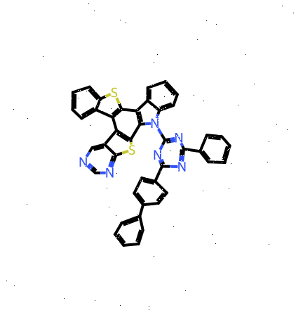 c1ccc(-c2ccc(-c3nc(-c4ccccc4)nc(-n4c5ccccc5c5c6sc7ccccc7c6c6c7cncnc7sc6c54)n3)cc2)cc1